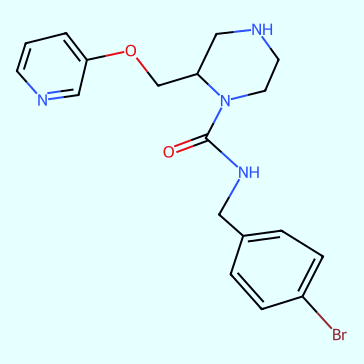 O=C(NCc1ccc(Br)cc1)N1CCNCC1COc1cccnc1